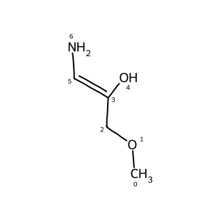 COC/C(O)=C/N